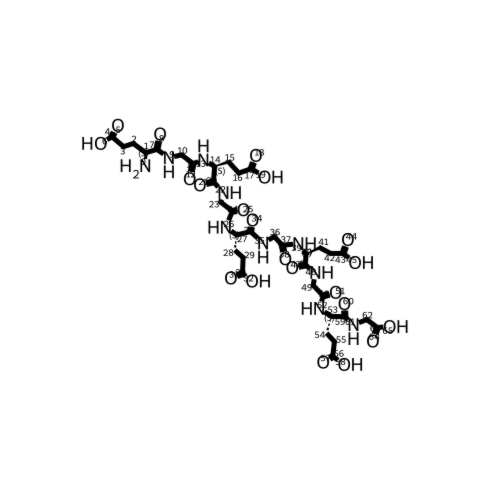 N[C@@H](CCC(=O)O)C(=O)NCC(=O)N[C@@H](CCC(=O)O)C(=O)NCC(=O)N[C@@H](CCC(=O)O)C(=O)NCC(=O)N[C@@H](CCC(=O)O)C(=O)NCC(=O)N[C@@H](CCC(=O)O)C(=O)NCC(=O)O